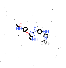 C=CC(=O)Nc1cccc(Oc2nc(Nc3ccc(N[C@H]4CCN(CCOC)C4)cc3)nc3[nH]ccc23)c1